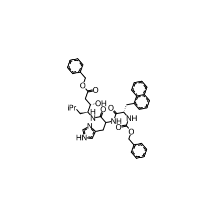 CC(C)C[C@H](NC(=O)C(Cc1c[nH]cn1)NC(=O)[C@H](Cc1cccc2ccccc12)NC(=O)OCc1ccccc1)[C@@H](O)CC(=O)OCc1ccccc1